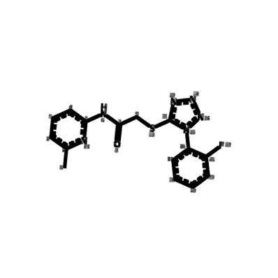 Cc1cccc(NC(=O)CSc2nnnn2-c2ccccc2F)n1